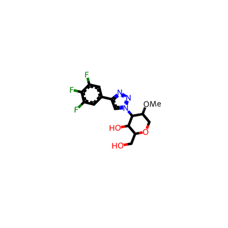 COC1COC(CO)C(O)C1n1cc(-c2cc(F)c(F)c(F)c2)nn1